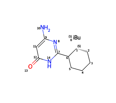 CC[C@H](C)[C@@H]1CCCCC1c1nc(N)cc(=O)[nH]1